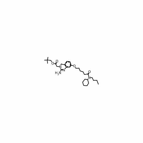 CCCCN(C(=O)CCCCCOc1ccc2c(c1)N=C(N)N(CC(=O)OCC(C)(C)C)C2)C1CCCCC1